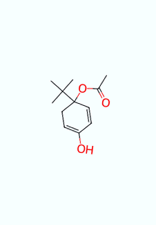 CC(=O)OC1(C(C)(C)C)C=CC(O)=CC1